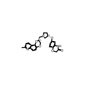 Cc1ccc2c3c(ccc2n1)OC[C@H](CN1CC[C@H](Oc2ccc4c(c2)NC(=O)CO4)C1)O3